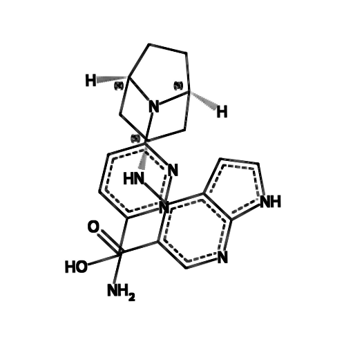 NC(=O)c1cnc2[nH]ccc2c1N[C@@H]1C[C@H]2CC[C@@H](C1)N2c1ccc(CO)nn1